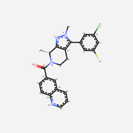 C[C@@H]1c2nn(C)c(-c3cc(F)cc(Cl)c3)c2CCN1C(=O)c1ccc2ncccc2c1